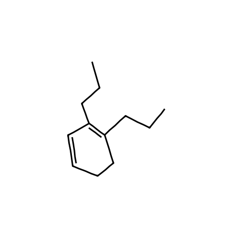 CCCC1=C(CCC)CCC=C1